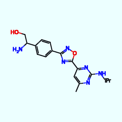 Cc1cc(-c2nc(-c3ccc(C(N)CO)cc3)no2)nc(NC(C)C)n1